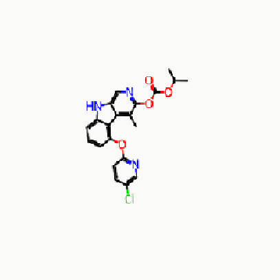 Cc1c(OC(=O)OC(C)C)ncc2[nH]c3cccc(Oc4ccc(Cl)cn4)c3c12